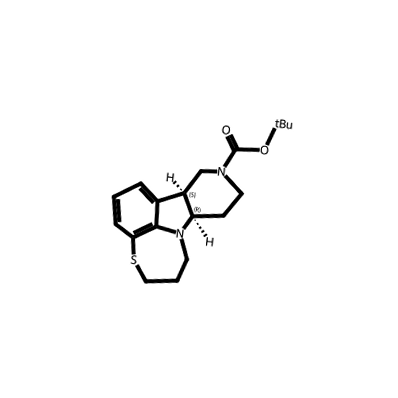 CC(C)(C)OC(=O)N1CC[C@@H]2[C@H](C1)c1cccc3c1N2CCCS3